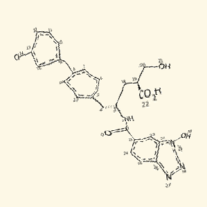 O=C(N[C@H](Cc1ccc(-c2cccc(Cl)c2)cc1)C[C@@H](CO)C(=O)O)c1ccc2nnn(O)c2c1